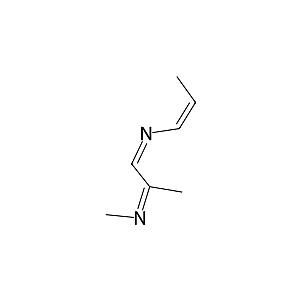 C\C=C/N=C\C(C)=N/C